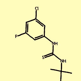 CC(C)(C)NC(=S)Nc1cc(F)cc(Cl)c1